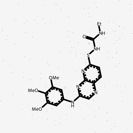 CCNC(=O)NSc1ccc2ncc(Nc3cc(OC)c(OC)c(OC)c3)nc2n1